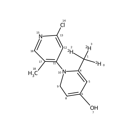 [2H]C([2H])([2H])C1=CC(O)=CCN1c1cc(Cl)ncc1C